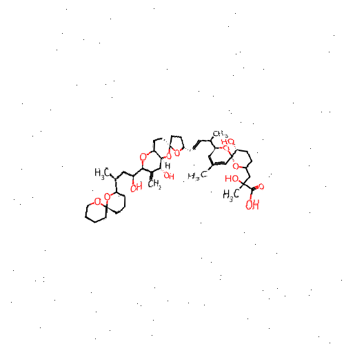 C=C1[C@@H](O)[C@@H]2O[C@@]3(CCC2O[C@@H]1[C@@H](O)C[C@H](C)C1CCC[C@]2(CCCCO2)O1)CC[C@H](/C=C/[C@@H](C)[C@@H]1CC(C)=C[C@@]2(OC(C[C@@](C)(O)C(=O)O)CC[C@H]2O)O1)O3